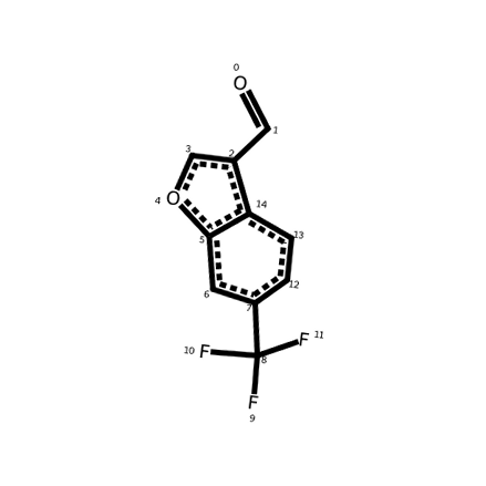 O=Cc1coc2cc(C(F)(F)F)ccc12